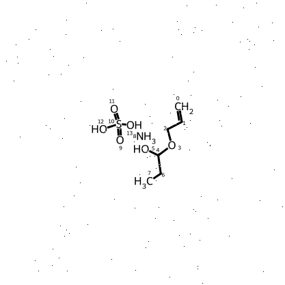 C=CCOC(O)CC.N.O=S(=O)(O)O